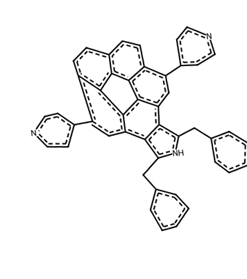 c1ccc(Cc2[nH]c(Cc3ccccc3)c3c4cc(-c5ccncc5)c5ccc6ccc7c(-c8ccncc8)cc(c23)c2c7c6c5c42)cc1